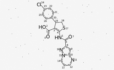 O=C(O)C1=C(NC(=O)c2cc3ncccn3n2)SCC1c1ccc(Cl)cc1